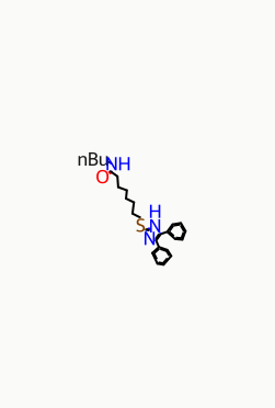 CCCCNC(=O)CCCCCCCSc1nc(-c2ccccc2)c(-c2ccccc2)[nH]1